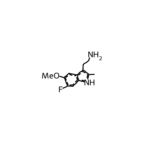 COc1cc2c(CCN)c(C)[nH]c2cc1F